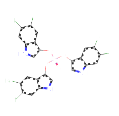 O=P(Oc1c[nH]c2cc(Cl)c(Br)cc12)(Oc1c[nH]c2cc(Cl)c(Br)cc12)Oc1c[nH]c2cc(Cl)c(Br)cc12